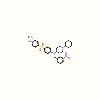 COc1ccc(S(=O)(=O)c2ccc(N(Cc3cccc([N+](=O)[O-])c3)C3CCN(C4CCCCC4)CC3)cc2)cc1